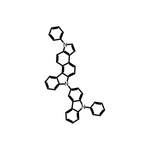 c1ccc(-n2ccc3c4ccc5c(c4ccc32)c2ccccc2n5-c2ccc3c(c2)c2ccccc2n3-c2ccccc2)cc1